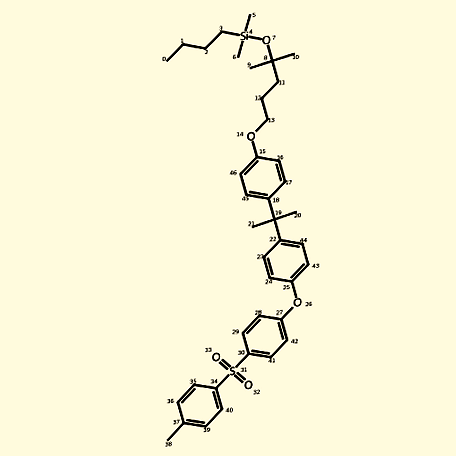 CCCC[Si](C)(C)OC(C)(C)CCCOc1ccc(C(C)(C)c2ccc(Oc3ccc(S(=O)(=O)c4ccc(C)cc4)cc3)cc2)cc1